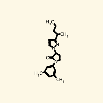 CCCC(C)c1ccn(C2CCN(c3cc(C)cc(C)c3)C2=O)n1